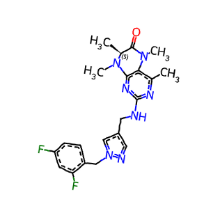 Cc1nc(NCc2cnn(Cc3ccc(F)cc3F)c2)nc2c1N(C)C(=O)[C@H](C)N2C